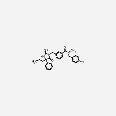 CCCC1(c2ccccc2)NC(=N)N(Cc2cccc(C(=O)N(C)Cc3ccc(Cl)cc3)c2)C1=O